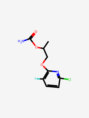 CC(COc1nc(Cl)ccc1F)OC(N)=O